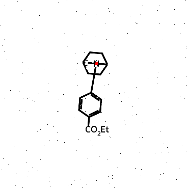 CCOC(=O)c1ccc(N2CC3CCC(CC3)C2)cc1